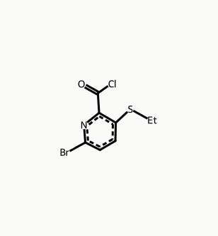 CCSc1ccc(Br)nc1C(=O)Cl